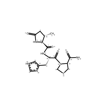 C[C@H]1CC(=O)N[C@@H]1C(=O)N[C@@H](Cc1c[nH]cn1)C(=O)N1CSCC1C(N)=O